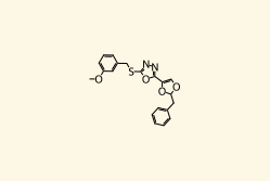 COc1cccc(CSc2nnc(C3=COC(Cc4ccccc4)O3)o2)c1